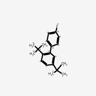 CC(C)(C)c1ccc(C(C)(C)C)c(-c2ccc(F)cc2)c1